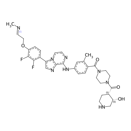 C/N=C/COc1ccc(-c2cnc3c(Nc4ccc(C(=O)N5CCN(C(=O)[C@H]6CCNC[C@H]6O)CC5)c(C)c4)nccn23)c(F)c1F